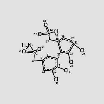 NS(=O)(=O)Cc1ccc(Cl)c(Cl)c1.O=S(=O)(Cl)Cc1ccc(Cl)c(Cl)c1